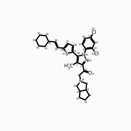 Cc1c(C(=O)CN2CC3CCCC3C2)nn(-c2ccc(Cl)cc2Cl)c1-c1ccc(/C=C/C2CCCCC2)s1